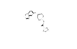 O=C(CN1CCC(Oc2ccc3cnccc3c2)CC1)N1CC[C@H](F)C1